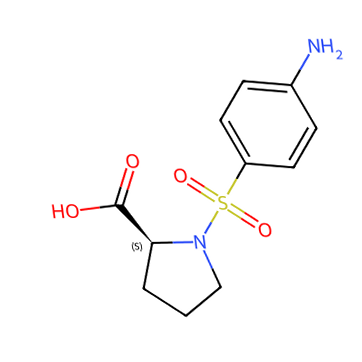 Nc1ccc(S(=O)(=O)N2CCC[C@H]2C(=O)O)cc1